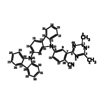 Cc1nc(C)nc(-c2cc(-n3c4ccccc4c4ccc(-n5c6ccccc6c6ccccc65)cc43)ccc2C#N)n1